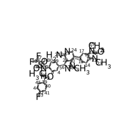 C[C@H](Oc1cc(-c2nn(C)c3c(-c4ccc5c(c4)n(C)c(=O)n5C)cnc(N)c23)ccc1NS(=O)(=O)C(F)F)c1ccc(F)cc1